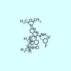 C[C@@H]1CN(c2ccc3c(=O)n(-c4ccc(Cl)c5c(NS(C)(=O)=O)nn(C)c45)c([C@@H](N)Cc4cc(F)cc(F)c4)nc3n2)C[C@H](C)O1